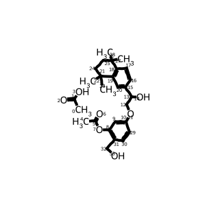 CC(=O)O.CC(=O)Oc1cc(OCC(O)c2ccc3c(c2)C(C)(C)CCC3(C)C)ccc1CO